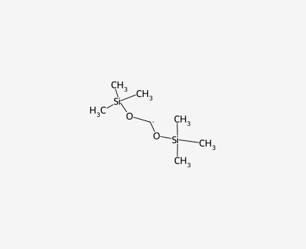 C[Si](C)(C)O[CH]O[Si](C)(C)C